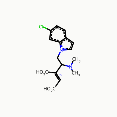 CN(C)C(Cn1ccc2ccc(Cl)cc21)/C(=C/C(=O)O)C(=O)O